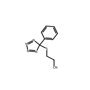 N#CCCSC1(c2ccccc2)N=NN=N1